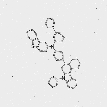 C1=Cc2c(c(-c3ccc(N(c4cccc(-c5ccccc5)c4)c4ccc5sc6ccccc6c5c4)cc3)cc3c2c2ccccc2n3-c2ccccc2)CC1